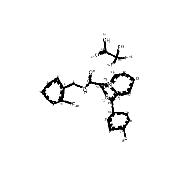 O=C(NCc1ccccc1F)c1nc(-c2ccc(F)cc2)c2ccccn12.O=C(O)C(F)(F)F